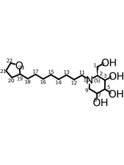 OC[C@H]1C(O)C(O)C(O)CN1CCCCCCCCC1CCCO1